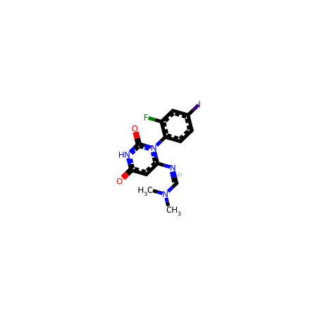 CN(C)/C=N\c1cc(=O)[nH]c(=O)n1-c1ccc(I)cc1F